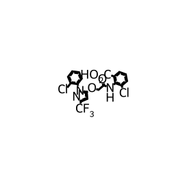 O=C(COc1cc(C(F)(F)F)nn1-c1ccccc1Cl)Nc1c(Cl)cccc1C(=O)O